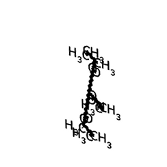 CC(C)CCCC(C)CCOC(=O)CCCCCCCCCC(CCCCCCCCCC(=O)OCC[C@@H](C)CCCC(C)C)OC(=O)CCCN(C)C